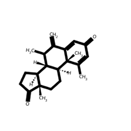 C=C1C2=CC(=O)C=C(C)[C@]2(C)[C@H]2CC[C@]3(C)C(=O)CC[C@H]3[C@@H]2C1C